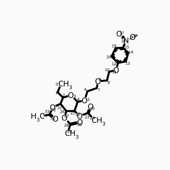 CCC1OC(OCCOCCOc2ccc([N+](=O)[O-])cc2)C(OC(C)=O)C(OC(C)=O)C1OC(C)=O